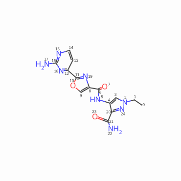 CCn1cc(NC(=O)c2coc(-c3ccnc(N)n3)n2)c(C(N)=O)n1